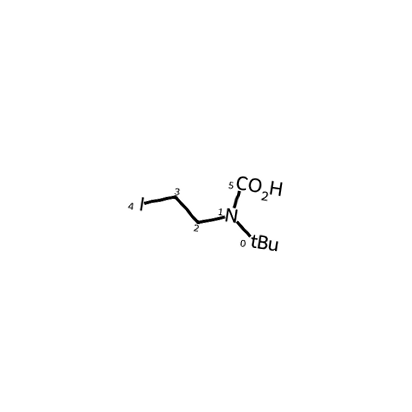 CC(C)(C)N(CCI)C(=O)O